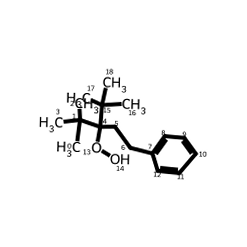 CC(C)(C)C(CCc1ccccc1)(OO)C(C)(C)C